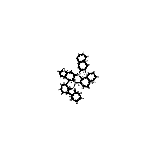 c1ccc2cc(N3c4cc5occc5c5c4B(c4ccc6ccccc6c43)n3c4ccccc4c4cccc-5c43)ccc2c1